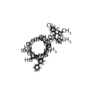 Cc1sc2c(c1C)C(c1ccc(Cl)cc1)=N[C@@H](CC(=O)NC[C@H]1NC(=O)[C@@H](C)NC(=O)[C@@H](Cc3ccc(-c4ccccc4)cc3)NC(=O)[C@@H]3C[C@@H](O)CN3C(=O)[C@H](C(C)(C)C)NC(=O)COCCN(C)C1=O)c1nnc(C)n1-2